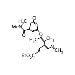 C=N/C=C(/C=C/C(=O)OCC)C(\C)=C(/C)OC1=CC(C(=O)NC)[C@H](C)C(Cl)=N1